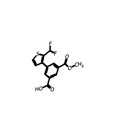 COC(=O)c1cc(C(=O)O)cc(-c2ccsc2C(F)F)c1